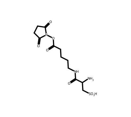 NC(CS(=O)(=O)O)C(=O)NCCCCC(=O)ON1C(=O)CCC1=O